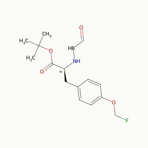 CC(C)(C)OC(=O)[C@H](Cc1ccc(OCF)cc1)NBC=O